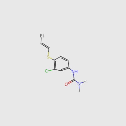 CCC=CSc1ccc(NC(=O)N(C)C)cc1Cl